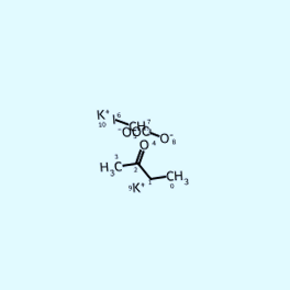 CCC(C)=O.CI.O=C([O-])[O-].[K+].[K+]